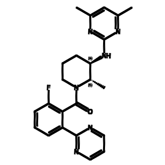 Cc1cc(C)nc(N[C@@H]2CCCN(C(=O)c3c(F)cccc3-c3ncccn3)[C@H]2C)n1